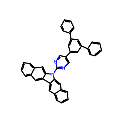 c1ccc(-c2cc(-c3ccccc3)cc(-c3cnc(-n4c5cc6ccccc6cc5c5cc6ccccc6cc54)nc3)c2)cc1